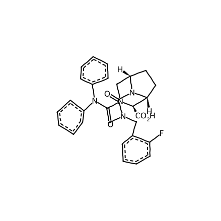 CN(Cc1ccccc1F)C(=O)N1[C@H]2CC[C@@H]1[C@@H](C(=O)O)N(C(=O)N(c1ccccc1)c1ccccc1)C2